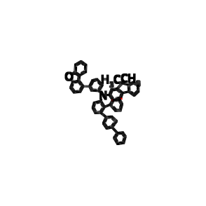 CC1(C)c2ccccc2-c2ccc(N(c3cccc(-c4cccc5oc6ccccc6c45)c3)c3cccc(-c4ccc(-c5ccccc5)cc4)c3-c3ccccc3)cc21